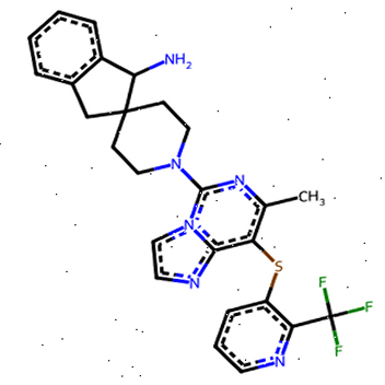 Cc1nc(N2CCC3(CC2)Cc2ccccc2C3N)n2ccnc2c1Sc1cccnc1C(F)(F)F